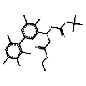 CCOC(=O)C[C@H](NC(=O)OC(C)(C)C)c1cc(-c2c(C)cc(C)c(F)c2C)cc(C)c1F